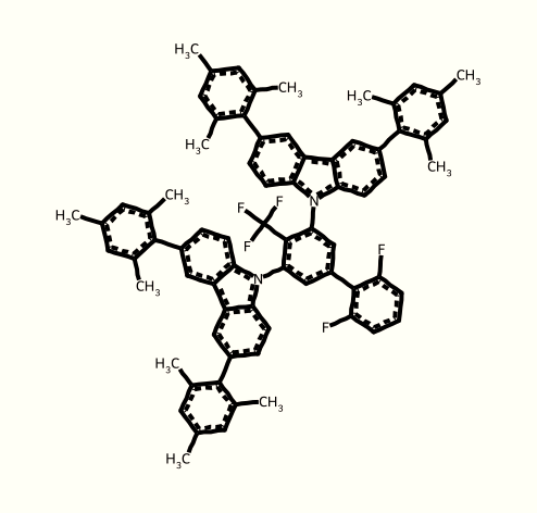 Cc1cc(C)c(-c2ccc3c(c2)c2cc(-c4c(C)cc(C)cc4C)ccc2n3-c2cc(-c3c(F)cccc3F)cc(-n3c4ccc(-c5c(C)cc(C)cc5C)cc4c4cc(-c5c(C)cc(C)cc5C)ccc43)c2C(F)(F)F)c(C)c1